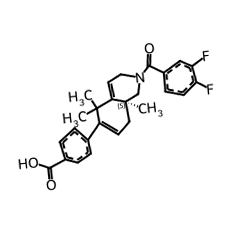 CC1(C)C(c2ccc(C(=O)O)cc2)=CC[C@]2(C)CN(C(=O)c3ccc(F)c(F)c3)CC=C12